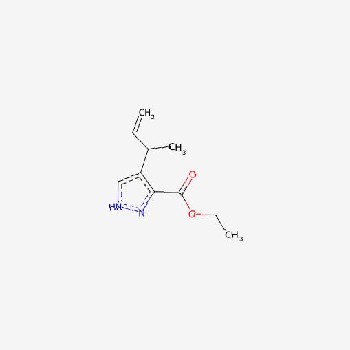 C=CC(C)c1c[nH]nc1C(=O)OCC